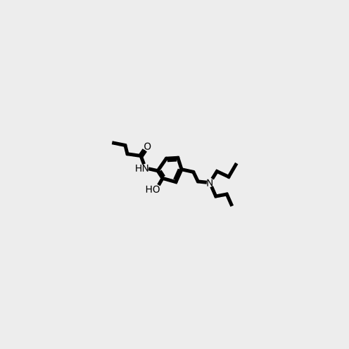 CCCC(=O)Nc1ccc(CCN(CCC)CCC)cc1O